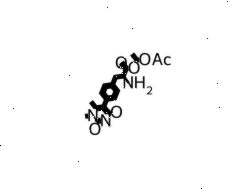 CC(=O)OC(C)OC(=O)[C@@H](N)Cc1ccc(-c2c(C)n(C)c(=O)n(C)c2=O)cc1